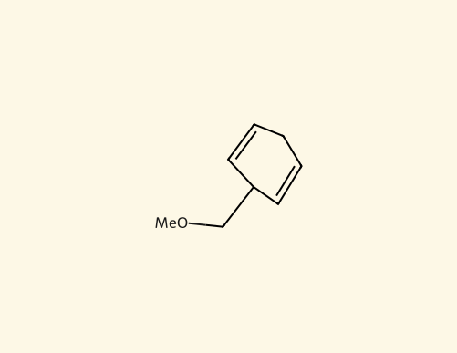 COCC1C=CCC=C1